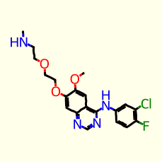 CNCCOCCOc1cc2ncnc(Nc3ccc(F)c(Cl)c3)c2cc1OC